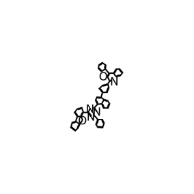 c1ccc(-c2nc(-c3ccc(-c4ccc(-c5nc6ccccc6c6c5oc5ccccc56)cc4)c4ccccc34)nc(-c3cccc4c3oc3ccccc34)n2)cc1